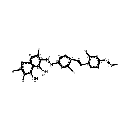 CN=Nc1ccc(C=Cc2ccc(N=Nc3c(C)cc4cc(C)c(C)c(O)c4c3O)cc2C)c(C)c1